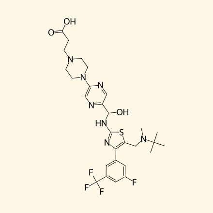 CN(Cc1sc(NC(O)c2cnc(N3CCN(CCC(=O)O)CC3)cn2)nc1-c1cc(F)cc(C(F)(F)F)c1)C(C)(C)C